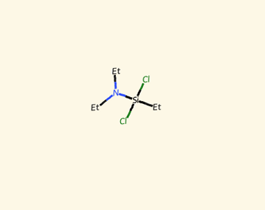 CCN(CC)[Si](Cl)(Cl)CC